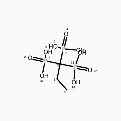 CCC(P(=O)(O)O)(P(=O)(O)O)P(=O)(O)O